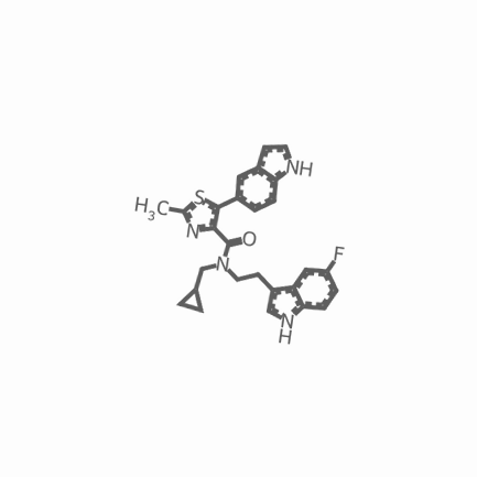 Cc1nc(C(=O)N(CCc2c[nH]c3ccc(F)cc23)CC2CC2)c(-c2ccc3[nH]ccc3c2)s1